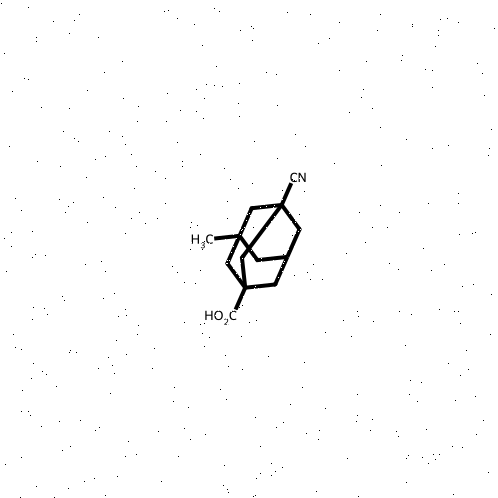 CC12CC3CC(C#N)(C1)CC(C(=O)O)(C3)C2